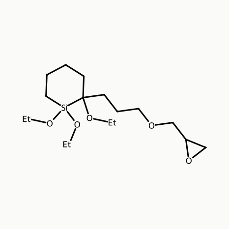 CCOC1(CCCOCC2CO2)CCCC[Si]1(OCC)OCC